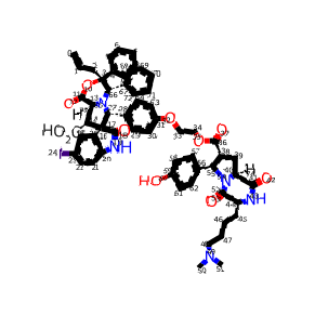 C=CC[C@]1(c2ccccc2)OC(=O)[C@@H]2[C@@H](C(=O)O)[C@]3(C(=O)Nc4ccc(I)cc43)[C@@H](c3ccc(OCCOC(=O)[C@H]4C[C@H]5C(=O)N[C@@H](CCCCN(C)C)C(=O)N5[C@H]4c4ccc(O)cc4)cc3)N2[C@H]1c1ccccc1